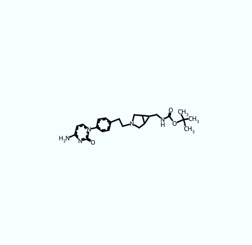 CC(C)(C)OC(=O)NCC1C2CN(CCc3ccc(-n4ccc(N)nc4=O)cc3)CC12